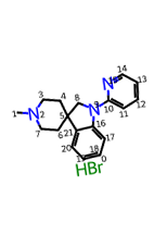 Br.CN1CCC2(CC1)CN(c1ccccn1)c1ccccc12